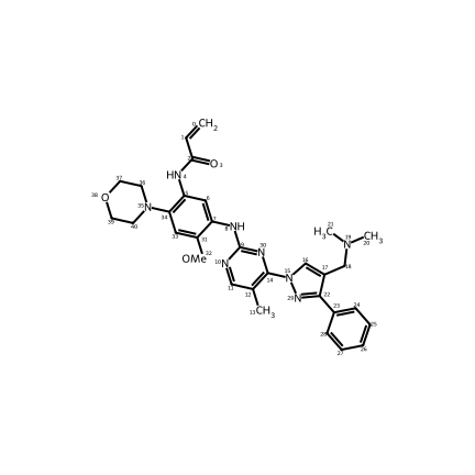 C=CC(=O)Nc1cc(Nc2ncc(C)c(-n3cc(CN(C)C)c(-c4ccccc4)n3)n2)c(OC)cc1N1CCOCC1